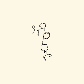 C=CC(=O)N1CCC(Cc2cccc(-c3ccccc3NC(C)=O)c2)CC1